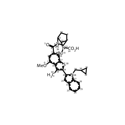 COc1cc(C(=O)N2CC3CCC2[C@@H]3N(C(=O)O)C(C)(C)C)cc2sc(-c3cc4ccccc4n3CC3CC3)c(C)c12